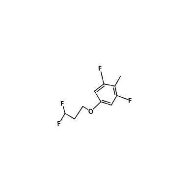 Cc1c(F)cc(OCCC(F)F)cc1F